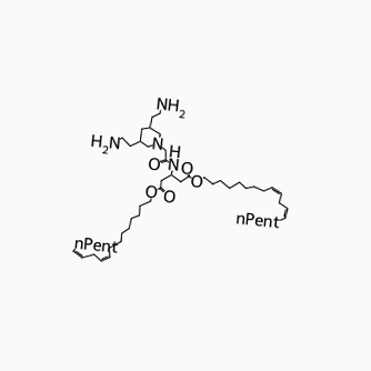 CCCCC/C=C\C/C=C\CCCCCCCCOC(=O)CC(CC(=O)OCCCCCCCC/C=C\C/C=C\CCCCC)NC(=O)CN1CC(CCN)CC(CCN)C1